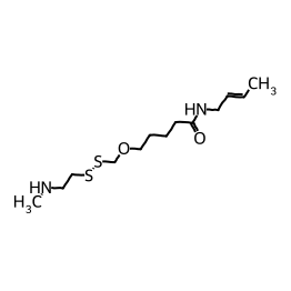 C/C=C/CNC(=O)CCCCOCSSCCNC